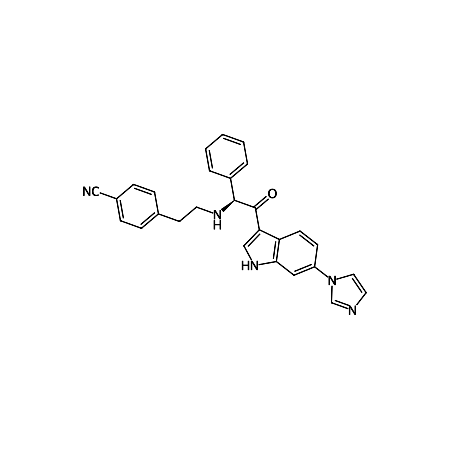 N#Cc1ccc(CCN[C@H](C(=O)c2c[nH]c3cc(-n4ccnc4)ccc23)c2ccccc2)cc1